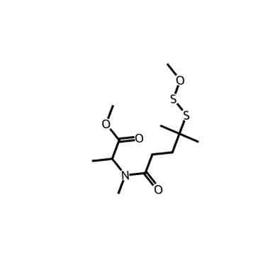 COSSC(C)(C)CCC(=O)N(C)C(C)C(=O)OC